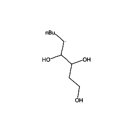 CCCC[CH]C(O)C(O)CCO